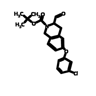 CC(C)(C)OC(=O)N1Cc2ccc(Oc3cccc(Cl)c3)cc2CC1C=O